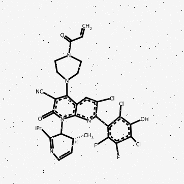 C=CC(=O)N1CCN(c2c(C#N)c(=O)n(C3C(C(C)C)=NC=C[C@H]3C)c3nc(-c4c(F)c(F)c(Cl)c(O)c4Cl)c(Cl)cc23)CC1